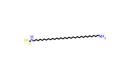 NCCCCCCCCCCCCCCCCCCCCCCCCCCCCCCCCNC(=S)S